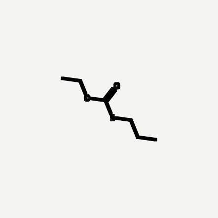 CCCSC(=O)OCC